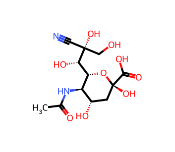 CC(=O)N[C@H]1[C@H]([C@H](O)[C@@](O)(C#N)CO)O[C@](O)(C(=O)O)C[C@@H]1O